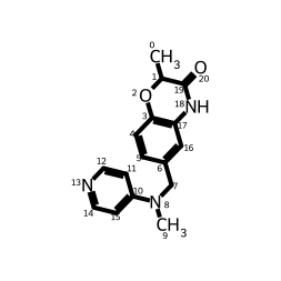 CC1Oc2ccc(CN(C)c3ccncc3)cc2NC1=O